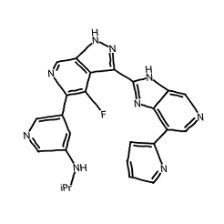 CC(C)Nc1cncc(-c2ncc3[nH]nc(-c4nc5c(-c6ccccn6)cncc5[nH]4)c3c2F)c1